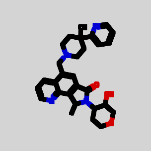 CC1c2c(cc(CN3CCC(C#N)(c4ccccn4)CC3)c3cccnc23)C(=O)N1C1CCOCC1O